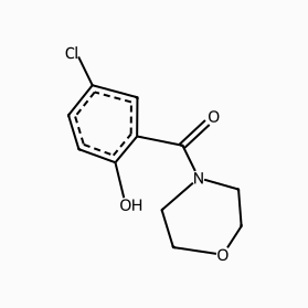 O=C(c1cc(Cl)ccc1O)N1CCOCC1